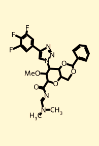 COC1C(C(=O)N=CN(C)C)OC2COC(c3ccccc3)OC2C1n1cc(-c2cc(F)c(F)c(F)c2)nn1